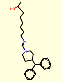 CC(O)CCCCCC/N=C/N1CCC(C(c2ccccc2)c2ccccc2)CC1